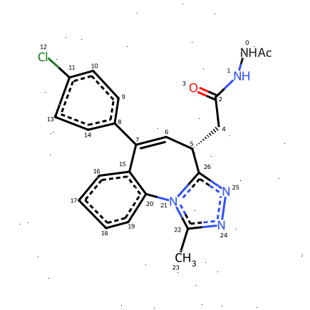 CC(=O)NNC(=O)C[C@H]1C=C(c2ccc(Cl)cc2)c2ccccc2-n2c(C)nnc21